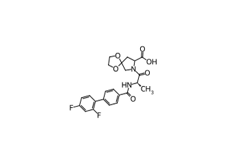 C[C@@H](NC(=O)c1ccc(-c2ccc(F)cc2F)cc1)C(=O)N1CC2(CC1C(=O)O)OCCO2